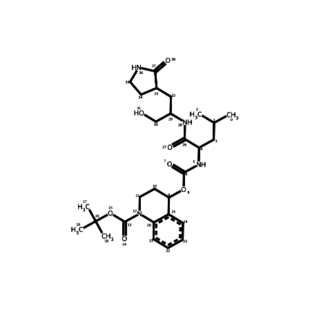 CC(C)CC(NC(=O)OC1CCN(C(=O)OC(C)(C)C)c2ccccc21)C(=O)NC(CO)CC1CCNC1=O